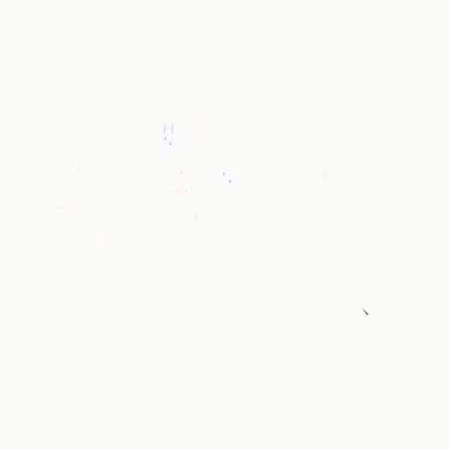 COc1cc(C(=O)O)c(F)cc1NS(=O)(=O)c1csc(-c2ccc([C@H]3CC[C@H](C(F)(F)F)CC3)cc2C(F)(F)F)n1